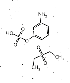 CCS(=O)(=O)CC.Nc1cccc(OS(=O)(=O)O)c1